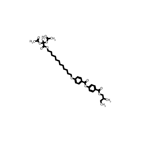 CCC(C)COC(=O)c1ccc(OC(=O)c2ccc(OCCCCCCCCCCCCOC(=O)C(C)(OC(C)=O)OC(C)=O)cc2)cc1